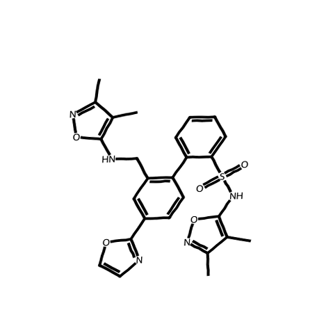 Cc1noc(NCc2cc(-c3ncco3)ccc2-c2ccccc2S(=O)(=O)Nc2onc(C)c2C)c1C